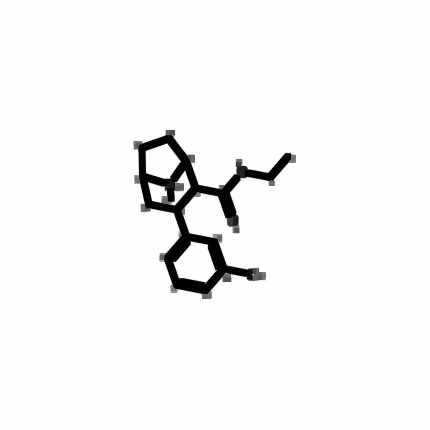 CCOC(=O)C1C(c2cccc(Cl)c2)CC2CCC1N2C